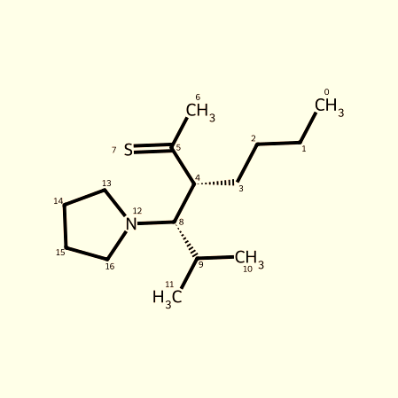 CCCC[C@@H](C(C)=S)[C@H](C(C)C)N1CCCC1